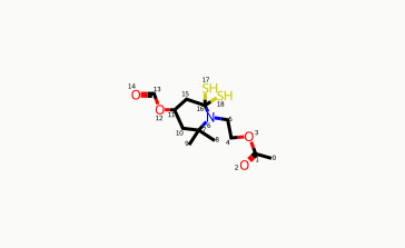 CC(=O)OCCN1C(C)(C)CC(OC=O)CC1(S)S